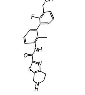 Cc1c(NC(=O)c2nc3c(s2)CNCC3)cccc1-c1cccc(CO)c1F